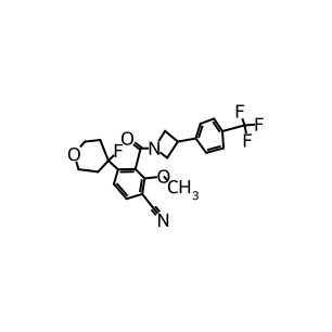 COc1c(C#N)ccc(C2(F)CCOCC2)c1C(=O)N1CC(c2ccc(C(F)(F)F)cc2)C1